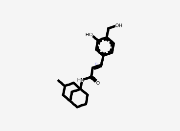 CC1CC2CCCC(NC(=O)/C=C/c3ccc(CO)c(O)c3)(C1)C2